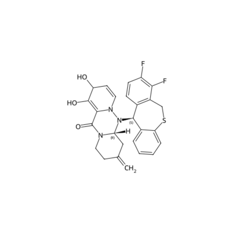 C=C1CCN2C(=O)C3=C(O)C(O)C=CN3N([C@@H]3c4ccccc4SCc4c3ccc(F)c4F)[C@@H]2C1